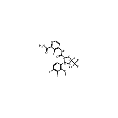 COc1c([C@H]2[C@@H](C(=O)Nc3ccnc(C(N)=O)c3F)O[C@](C)(C(F)(F)F)[C@H]2C)ccc(F)c1F